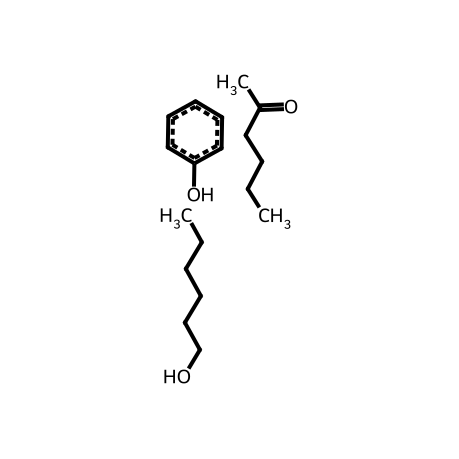 CCCCC(C)=O.CCCCCCO.Oc1ccccc1